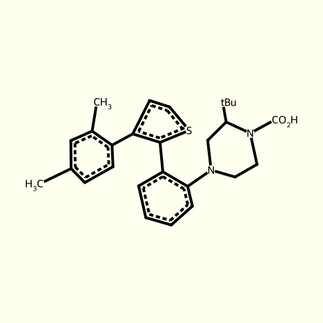 Cc1ccc(-c2ccsc2-c2ccccc2N2CCN(C(=O)O)C(C(C)(C)C)C2)c(C)c1